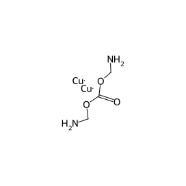 NCOC(=O)OCN.[Cu].[Cu]